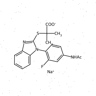 CC(=O)Nc1ccc(-n2c(SC(C)(C)C(=O)[O-])nc3ccccc32)c(F)c1.[Na+]